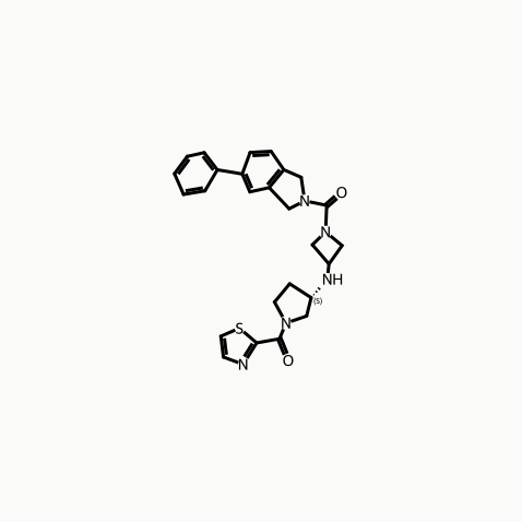 O=C(c1nccs1)N1CC[C@H](NC2CN(C(=O)N3Cc4ccc(-c5ccccc5)cc4C3)C2)C1